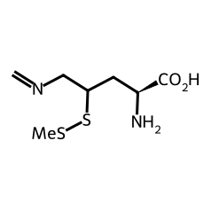 C=NCC(C[C@H](N)C(=O)O)SSC